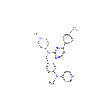 CCN1CCC(N(Cc2ccc(N(C)c3ccncc3)cc2)c2nccc(-c3ccc(C(F)(F)F)cc3)n2)CC1